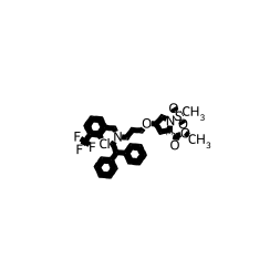 COC(=O)[C@@H]1CC(OCCCN(Cc2cccc(C(F)(F)F)c2Cl)CC(c2ccccc2)c2ccccc2)CN1S(C)(=O)=O